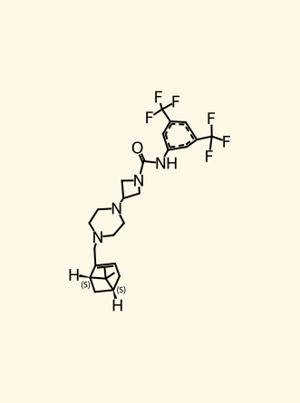 CC1(C)[C@@H]2CC=C(CN3CCN(C4CN(C(=O)Nc5cc(C(F)(F)F)cc(C(F)(F)F)c5)C4)CC3)[C@H]1C2